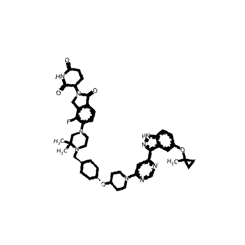 CC1(Oc2ccc3[nH]nc(-c4cc(N5CCC(O[C@H]6CC[C@H](CN7CCN(c8ccc9c(c8F)CN(C8CCC(=O)NC8=O)C9=O)CC7(C)C)CC6)CC5)ncn4)c3c2)CC1